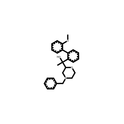 COc1ccccc1-c1ccccc1C(C)(O)C1CN(Cc2ccccc2)CCO1